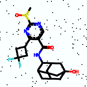 C[S+]([O-])c1ncc(C(=O)NC2C3CC4CC2CC(O)(C4)C3)c(C2CC(F)(F)C2)n1